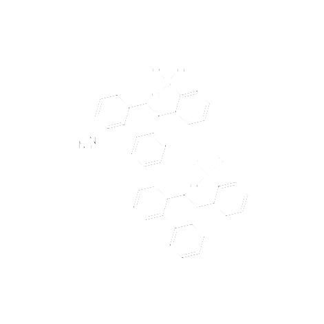 O=S(=O)([O-])c1ccccc1C=Cc1ccccc1-c1ccccc1.O=S(=O)([O-])c1ccccc1C=Cc1ccccc1-c1ccccc1.[Na+].[Na+]